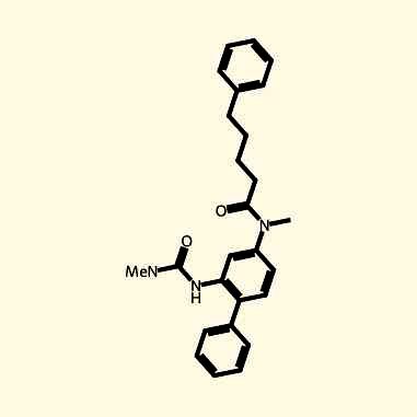 CNC(=O)Nc1cc(N(C)C(=O)CCCCc2ccccc2)ccc1-c1ccccc1